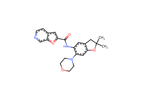 CC1(C)Cc2cc(NC(=O)c3cc4ccncc4o3)c(N3CCOCC3)cc2O1